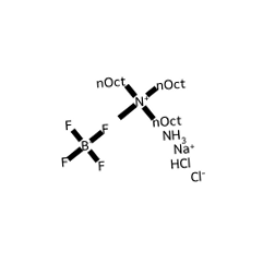 CCCCCCCC[N+](C)(CCCCCCCC)CCCCCCCC.Cl.F[B-](F)(F)F.N.[Cl-].[Na+]